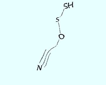 N#COSS